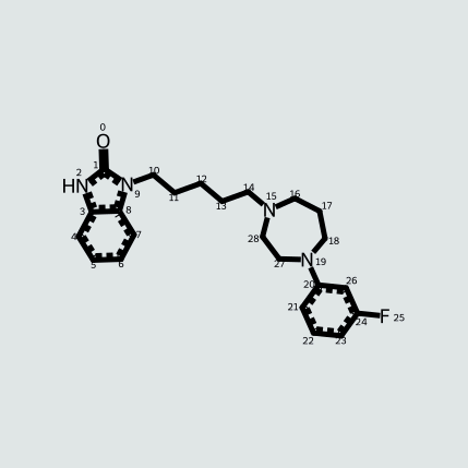 O=c1[nH]c2ccccc2n1CCCCCN1CCCN(c2cccc(F)c2)CC1